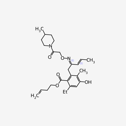 C=CCCOC(=O)c1c(CC)cc(O)c(C)c1CC(/C=C/C)=N\OCC(=O)N1CCC(C)CC1